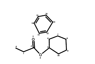 CCC(=O)OC1CCCCC1.c1ccccc1